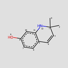 CC1(C)C=Cc2ccc(O)cc2N1